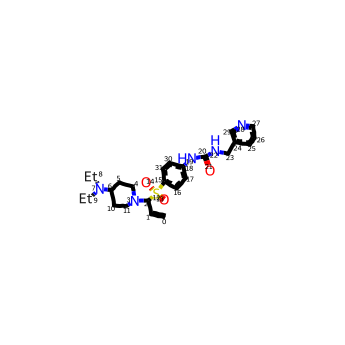 C=CC(N1CCC(N(CC)CC)CC1)S(=O)(=O)c1ccc(NC(=O)NCc2cccnc2)cc1